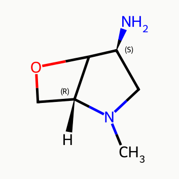 CN1C[C@H](N)C2OC[C@H]21